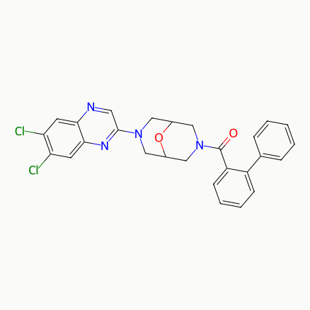 O=C(c1ccccc1-c1ccccc1)N1CC2CN(c3cnc4cc(Cl)c(Cl)cc4n3)CC(C1)O2